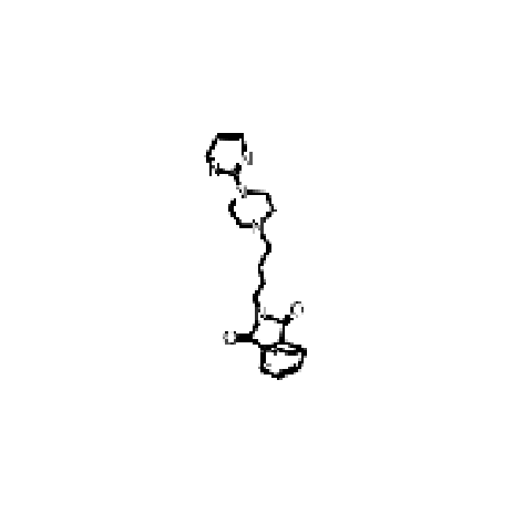 O=C1C2C3C=CC(CCC3)C2C(=O)N1CCCCN1CCN(c2ncccn2)CC1